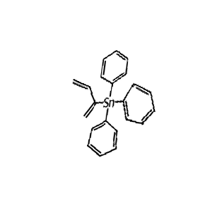 C=C[C](=C)[Sn]([c]1ccccc1)([c]1ccccc1)[c]1ccccc1